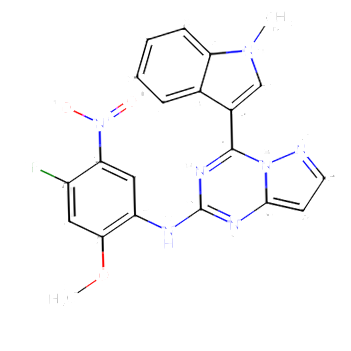 COc1cc(F)c([N+](=O)[O-])cc1Nc1nc(-c2cn(C)c3ccccc23)n2nccc2n1